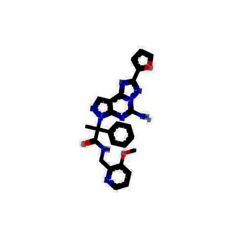 COc1cccnc1CNC(=O)C(C)(c1ccccc1)n1ncc2c1nc(N)n1nc(-c3ccco3)nc21